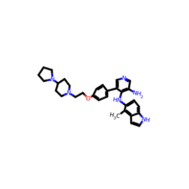 Cc1c(Nc2c(N)cncc2-c2ccc(OCCN3CCC(N4CCCC4)CC3)cc2)ccc2[nH]ccc12